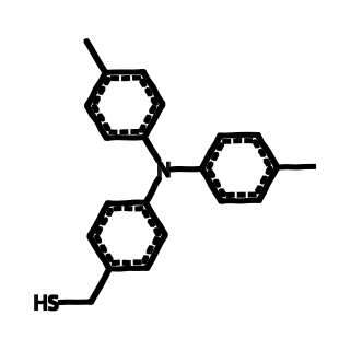 Cc1ccc(N(c2ccc(C)cc2)c2ccc(CS)cc2)cc1